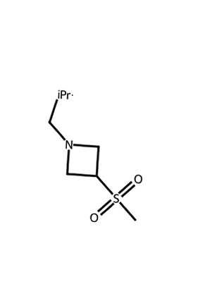 C[C](C)CN1CC(S(C)(=O)=O)C1